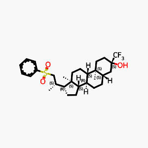 C[C@H](CS(=O)(=O)c1ccccc1)[C@H]1CC[C@H]2[C@@H]3CC[C@H]4C[C@](O)(C(F)(F)F)CC[C@]4(C)[C@H]3CC[C@]12C